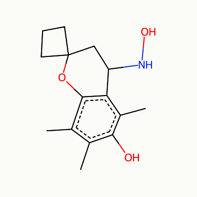 Cc1c(C)c2c(c(C)c1O)C(NO)CC1(CCC1)O2